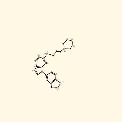 c1cc2[nH]ncc2cc1-n1cnc2cnc(NCCCN3CCOCC3)nc21